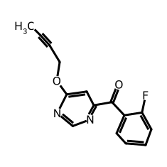 CC#CCOc1cc(C(=O)c2ccccc2F)ncn1